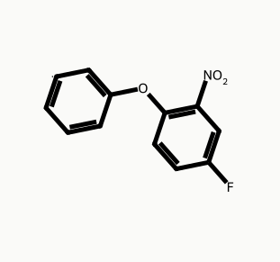 O=[N+]([O-])c1cc(F)ccc1Oc1c[c]ccc1